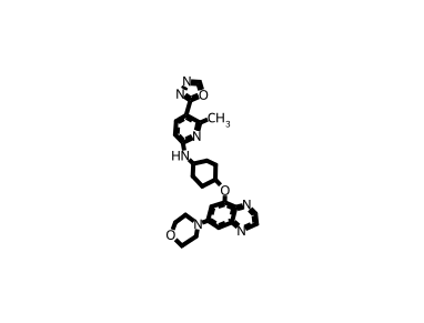 Cc1nc(NC2CCC(Oc3cc(N4CCOCC4)cc4nccnc34)CC2)ccc1-c1nnco1